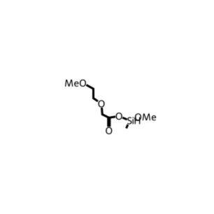 COCCOCC(=O)O[SiH](C)OC